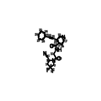 N#C[C@@H]1CC(F)(F)CN1C(=O)CNC(=O)c1ccncc1C#Cc1ccccc1